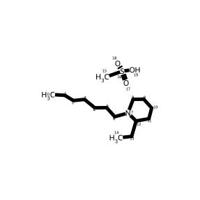 CCCCCCCN1CCCCC1CC.CS(=O)(=O)O